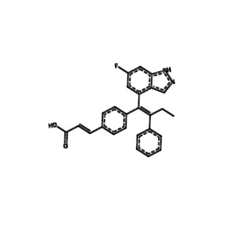 CCC(=C(c1ccc(C=CC(=O)O)cc1)c1cc(F)cc2[nH]ncc12)c1ccccc1